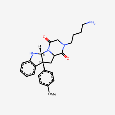 COc1ccc([C@]23CC4C(=O)N(CCCCN)CC(=O)N4[C@H]2Nc2ccccc23)cc1